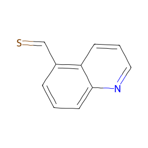 S=Cc1cccc2ncccc12